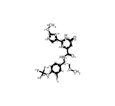 COC[C@@H](NC(=O)c1cc(=O)[nH]c(-c2cnc(OC)s2)n1)c1ccc(OC(F)(F)F)c(F)c1